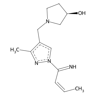 C/C=C\C(=N)n1cc(CN2CC[C@@H](O)C2)c(C)n1